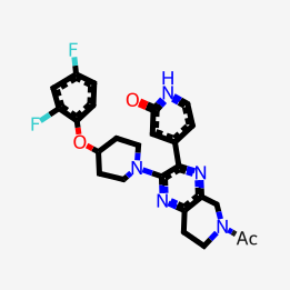 CC(=O)N1CCc2nc(N3CCC(Oc4ccc(F)cc4F)CC3)c(-c3cc[nH]c(=O)c3)nc2C1